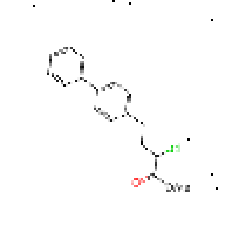 COC(=O)C(Cl)CCc1ccc(-c2ccccc2)cc1